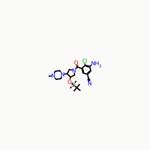 CN1CCN(C2CN(C(=O)c3cc(C#N)cc(N)c3Cl)CC2O[Si](C)(C)C(C)(C)C)CC1